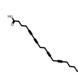 CCCCCC#CCC#CCCC#CC#CCCCC(=O)O